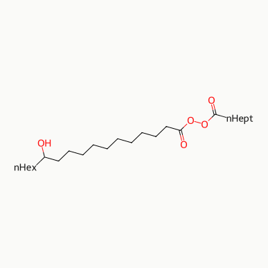 CCCCCCCC(=O)OOC(=O)CCCCCCCCCCC(O)CCCCCC